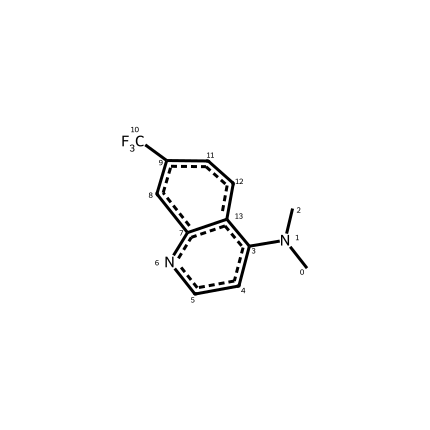 CN(C)c1ccnc2cc(C(F)(F)F)ccc12